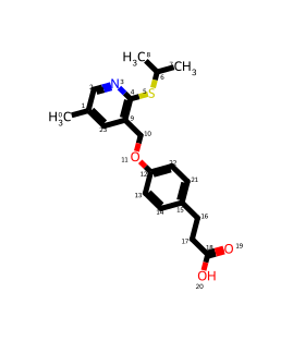 Cc1cnc(SC(C)C)c(COc2ccc(CCC(=O)O)cc2)c1